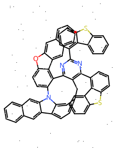 c1ccc2cc3c(cc2c1)oc1ccc2c(c13)-c1nc(-c3cccc4sc5ccccc5c34)nc(-c3cccc4sc5ccccc5c34)c1Cc1ccc3c4cc5ccccc5cc4n-2c3c1